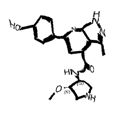 CO[C@H]1CNC[C@@H]1NC(=O)c1cc(-c2ccc(O)cc2)nc2[nH]nc(C)c12